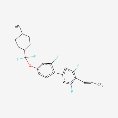 CCCC1CCC(C(F)(F)Oc2ccc(-c3cc(F)c(C#CC(F)(F)F)c(F)c3)c(F)c2)CC1